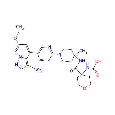 CCOc1cc(-c2ccc(N3CCC(C)(NC(=O)C4(NC(=O)O)CCOCC4)CC3)nc2)c2c(C#N)cnn2c1